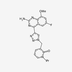 COc1cc(F)cc2c(-c3cn(Cc4cccn(C(C)C)c4=O)nn3)nc(N)nc12